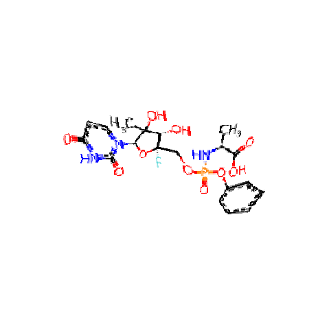 C[C@H](N[P@](=O)(OC[C@@]1(F)O[C@@H](n2ccc(=O)[nH]c2=O)[C@](C)(O)[C@@H]1O)Oc1ccccc1)C(=O)O